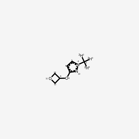 [2H]C([2H])([2H])n1ccc(OC2COC2)n1